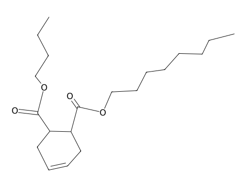 CCCCCCCCOC(=O)C1CC=CCC1C(=O)OCCCC